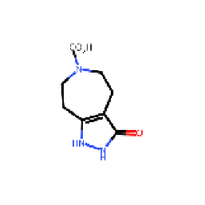 O=C(O)N1CCc2[nH][nH]c(=O)c2CC1